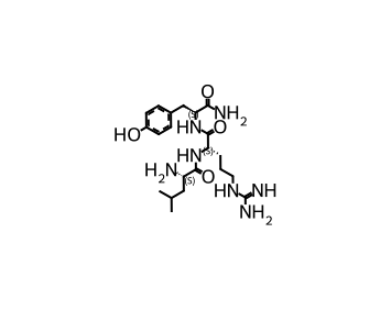 CC(C)C[C@H](N)C(=O)N[C@@H](CCCNC(=N)N)C(=O)N[C@@H](Cc1ccc(O)cc1)C(N)=O